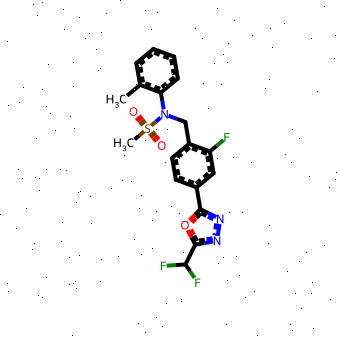 Cc1ccccc1N(Cc1ccc(-c2nnc(C(F)F)o2)cc1F)S(C)(=O)=O